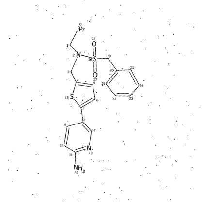 CC(C)CN(Cc1ccc(-c2ccc(N)nc2)s1)S(=O)(=O)Cc1ccccc1